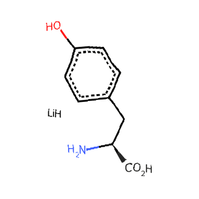 N[C@@H](Cc1ccc(O)cc1)C(=O)O.[LiH]